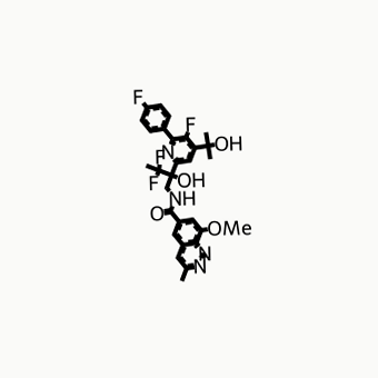 COc1cc(C(=O)NCC(O)(c2cc(C(C)(C)O)c(F)c(-c3ccc(F)cc3)n2)C(C)(F)F)cc2cc(C)nnc12